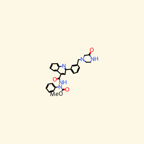 COC(=O)N(NC(=O)c1cc(-c2cccc(CN3CCNC(=O)C3)c2)nc2ccccc12)c1ccccc1